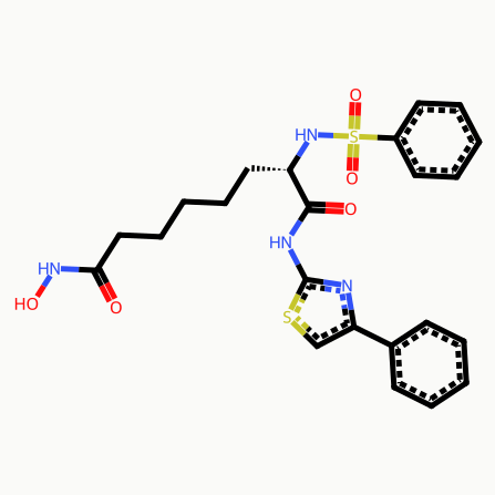 O=C(CCCCC[C@H](NS(=O)(=O)c1ccccc1)C(=O)Nc1nc(-c2ccccc2)cs1)NO